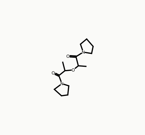 CC(OC(C)C(=O)N1CCCC1)C(=O)N1CCCC1